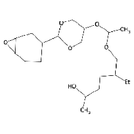 CCC(CCC(C)O)COC(C)OC1COC(C2CCC3OC3C2)OC1